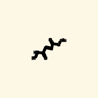 CCCCOC(=O)/C=C/C(=O)NC(C)C